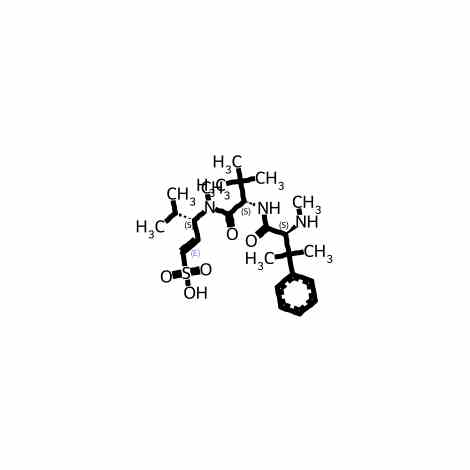 CN[C@H](C(=O)N[C@H](C(=O)N(C)[C@H](/C=C/S(=O)(=O)O)C(C)C)C(C)(C)C)C(C)(C)c1ccccc1